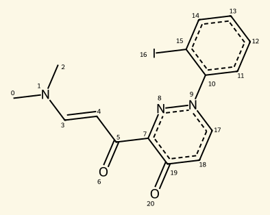 CN(C)C=CC(=O)c1nn(-c2ccccc2I)ccc1=O